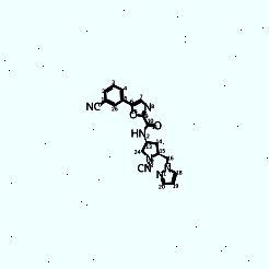 N#Cc1cccc(-c2cnc(C(=O)N[C@@H]3C[C@@H](Cn4cccn4)N(C#N)C3)o2)c1